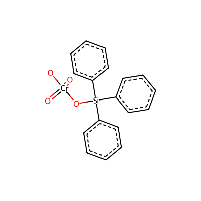 [O]=[Cr](=[O])([O-])[O][Si](c1ccccc1)(c1ccccc1)c1ccccc1